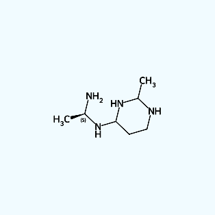 CC1NCCC(N[C@@H](C)N)N1